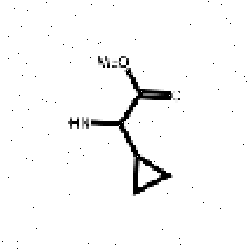 COC(=O)C([NH])C1CC1